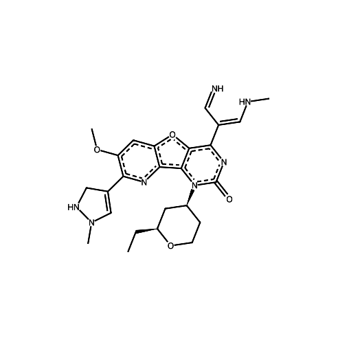 CC[C@H]1C[C@@H](n2c(=O)nc(/C(C=N)=C/NC)c3oc4cc(OC)c(C5=CN(C)NC5)nc4c32)CCO1